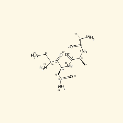 C[C@H](N)C(=O)N[C@@H](C)C(=O)N[C@@H](CC(N)=O)C(=O)C(N)CN